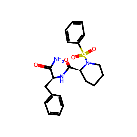 NC(=O)[C@H](Cc1ccccc1)NC(=O)[C@@H]1CCCCN1S(=O)(=O)c1ccccc1